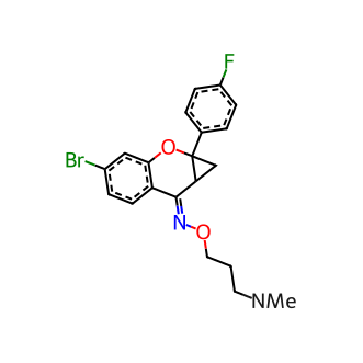 CNCCCON=C1c2ccc(Br)cc2OC2(c3ccc(F)cc3)CC12